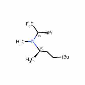 CC(C)[C@@H](N(C)[C@H](C)CCC(C)(C)C)C(F)(F)F